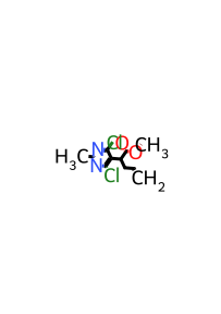 C=CCC(C(=O)OC)c1c(Cl)nc(C)nc1Cl